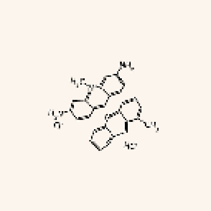 C[n+]1c2cc(N)ccc2cc2ccc(N)cc21.Cc1cccc2nc3ccccc3cc12.Cl.[Cl-]